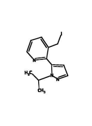 CC(C)n1nccc1-c1ncccc1CI